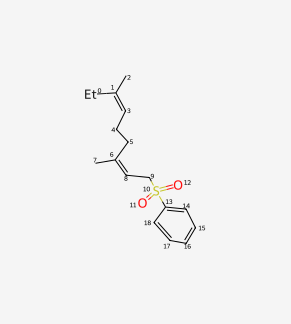 CC/C(C)=C\CC/C(C)=C\CS(=O)(=O)c1ccccc1